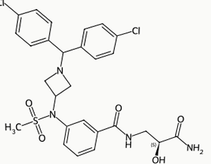 CS(=O)(=O)N(c1cccc(C(=O)NC[C@H](O)C(N)=O)c1)C1CN(C(c2ccc(Cl)cc2)c2ccc(Cl)cc2)C1